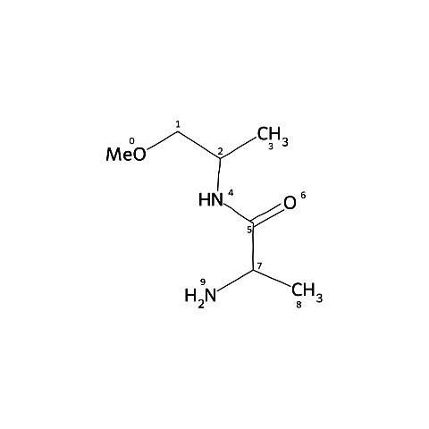 COCC(C)NC(=O)C(C)N